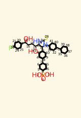 O=P(O)(O)c1ccc(-c2ccc(C3C(CCCC(O)c4ccc(F)cc4)NC(=S)N3c3ccc(-c4ccccc4)cc3)c(O)c2)cc1